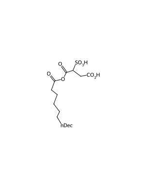 CCCCCCCCCCCCCCCC(=O)OC(=O)C(CC(=O)O)S(=O)(=O)O